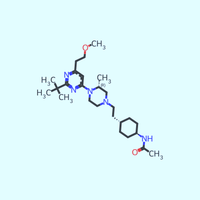 COCCc1cc(N2CCN(CC[C@H]3CC[C@H](NC(C)=O)CC3)C[C@H]2C)nc(C(C)(C)C)n1